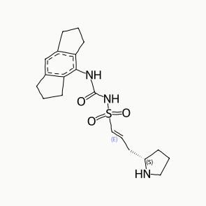 O=C(Nc1c2c(cc3c1CCC3)CCC2)NS(=O)(=O)/C=C/C[C@@H]1CCCN1